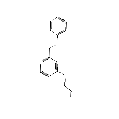 CCCOc1ccnc(CNc2ccccc2)c1